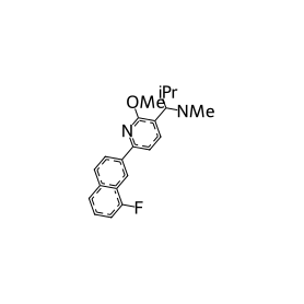 CNC(c1ccc(-c2ccc3cccc(F)c3c2)nc1OC)C(C)C